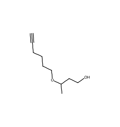 C#CCCCCOC(C)CCO